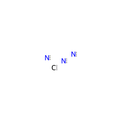 [C].[N].[N].[N]